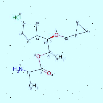 CC(N)C(=O)O[C@@H](C)[C@H](OCC1CC1)C1CCCC1.Cl